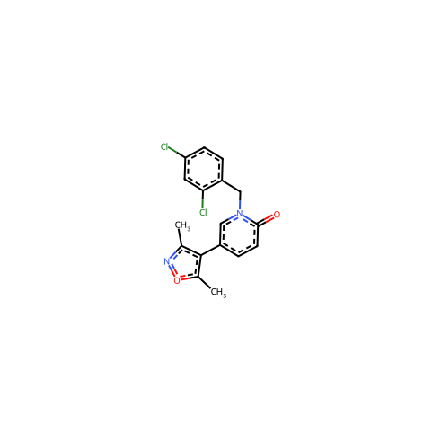 Cc1noc(C)c1-c1ccc(=O)n(Cc2ccc(Cl)cc2Cl)c1